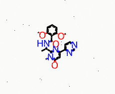 COc1cccc(OC)c1C(=O)NC(C)c1nc(-c2ccncn2)cc(=O)n1C